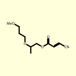 COCCCOC(C)COC(=O)C=CC#N